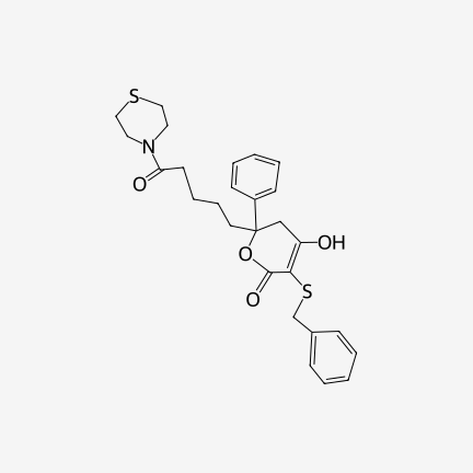 O=C1OC(CCCCC(=O)N2CCSCC2)(c2ccccc2)CC(O)=C1SCc1ccccc1